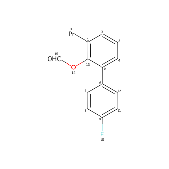 CC(C)c1cccc(-c2ccc(F)cc2)c1OC=O